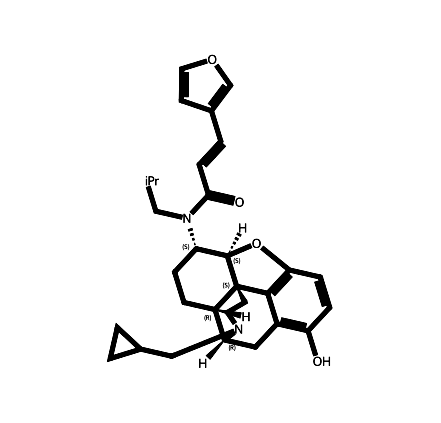 CC(C)CN(C(=O)C=Cc1ccoc1)[C@H]1CC[C@H]2[C@H]3Cc4c(O)ccc5c4[C@@]2(CCN3CC2CC2)[C@@H]1O5